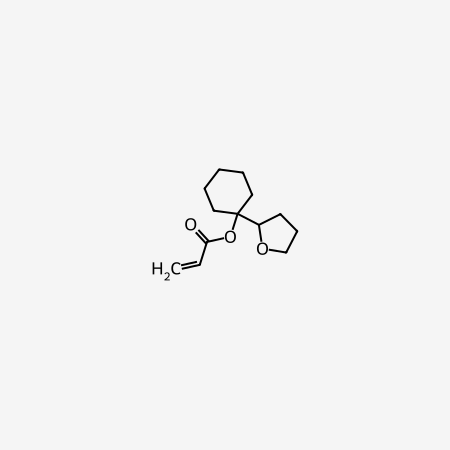 C=CC(=O)OC1(C2CCCO2)CCCCC1